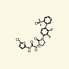 CP(C)(=O)c1ccccc1-c1ccc(N2CC[C@@H](NC(=O)Nc3ccc(Cl)s3)C2=O)c(F)c1F